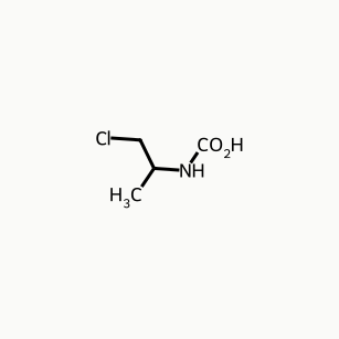 CC(CCl)NC(=O)O